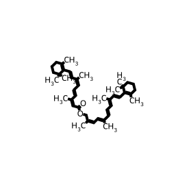 CC(C=CC1=C(C)CCCC1(C)C)=CC=CC(C)=CC=C(C)COC(=O)C=C(C)C=CC=C(C)C=CC1=C(C)CCCC1(C)C